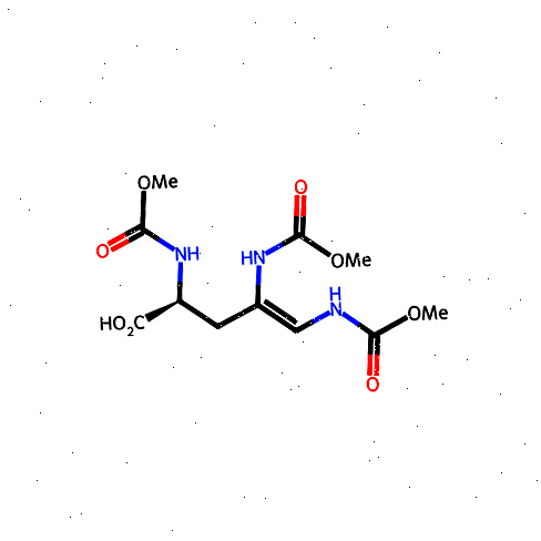 COC(=O)NC=C(C[C@H](NC(=O)OC)C(=O)O)NC(=O)OC